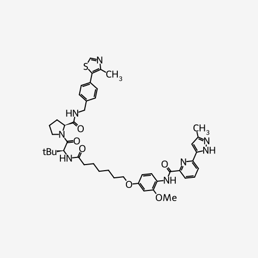 COc1cc(OCCCCCCC(=O)N[C@H](C(=O)N2CCC[C@H]2C(=O)NCc2ccc(-c3scnc3C)cc2)C(C)(C)C)ccc1NC(=O)c1cccc(-c2cc(C)n[nH]2)n1